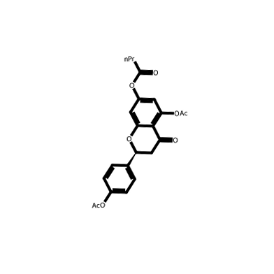 CCCC(=O)Oc1cc(OC(C)=O)c2c(c1)O[C@H](c1ccc(OC(C)=O)cc1)CC2=O